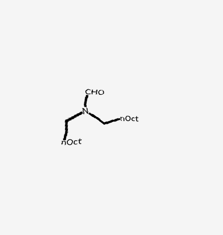 CCCCCCCCCN(C=O)CCCCCCCCC